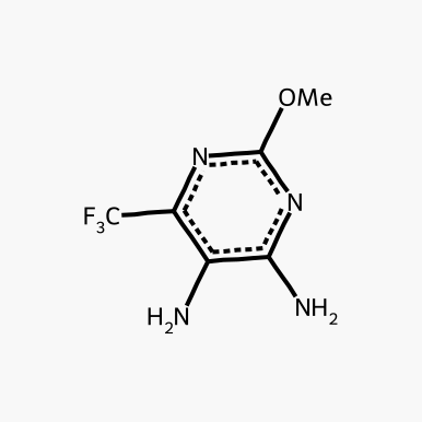 COc1nc(N)c(N)c(C(F)(F)F)n1